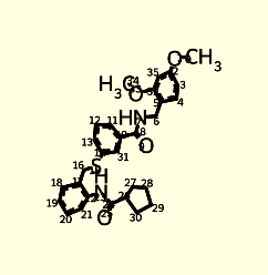 COc1ccc(CNC(=O)c2cccc(SCc3ccccc3NC(=O)C3CCCC3)c2)c(OC)c1